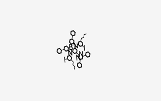 CCCCc1cc(I)cc(N2c3cc(-c4ccccc4)ccc3B3c4ccc(-c5ccccc5)cc4N(c4cc(I)cc(CCCC)c4)c4cc(-c5nc(-c6ccccc6)cc(-c6ccccc6)n5)cc2c43)c1